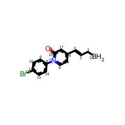 BC/C=C/c1ccn(-c2ccc(Br)cc2)c(=O)c1